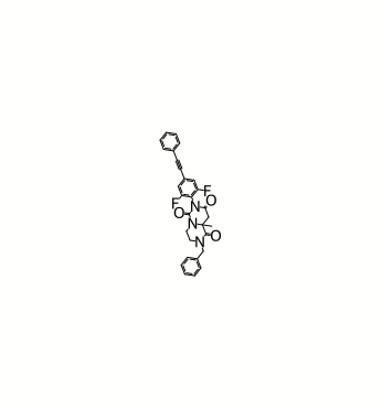 CC12CC(=O)N(c3c(F)cc(C#Cc4ccccc4)cc3F)C(=O)N1CCN(Cc1ccccc1)C2=O